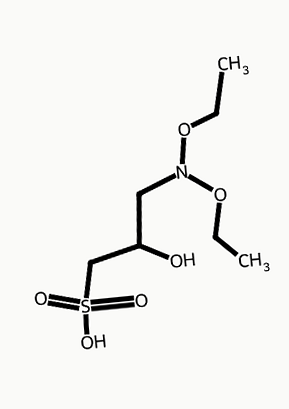 CCON(CC(O)CS(=O)(=O)O)OCC